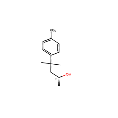 CCCCc1ccc(C(C)(C)C[C@H](C)O)cc1